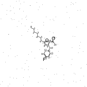 CCCCCCCc1cc(CC2C=CC(F)=CC2)c(C(C)=O)o1